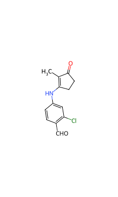 CC1=C(Nc2ccc(C=O)c(Cl)c2)CCC1=O